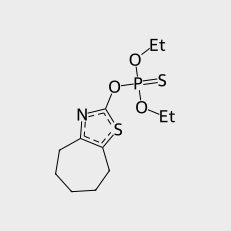 CCOP(=S)(OCC)Oc1nc2c(s1)CCCCC2